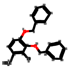 CCc1c(C(=O)O)ccc(OCc2ccccc2)c1OCc1ccccc1